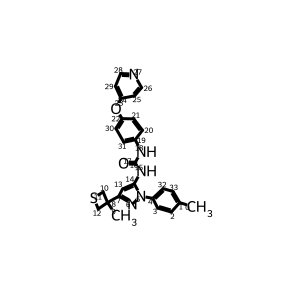 Cc1ccc(-n2nc(C3(C)CSC3)cc2NC(=O)Nc2ccc(Oc3ccncc3)cc2)cc1